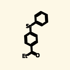 CCC(=O)c1ccc([Se]c2ccccc2)cc1